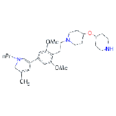 CCCN1C=C(c2cc(OC)c(CCN3CCC(OC4CCNCC4)CC3)c(OC)c2)C=C(C)C1